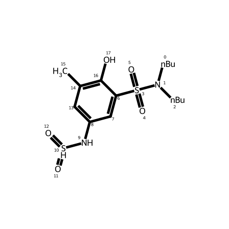 CCCCN(CCCC)S(=O)(=O)c1cc(N[SH](=O)=O)cc(C)c1O